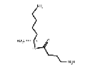 NCCCC[C@H](NC(=O)CCCC(=O)O)C(=O)O